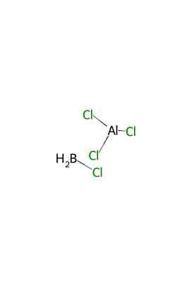 BCl.[Cl][Al]([Cl])[Cl]